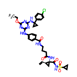 C=C[C@@H]1C[C@]1(NC(=O)CCCNC(=O)c1ccc(Nc2nc(NC3(c4ccc(Cl)cc4)CC3)nc(OCC(F)(F)F)n2)cc1)C(=O)NS(=O)(=O)C1CC1